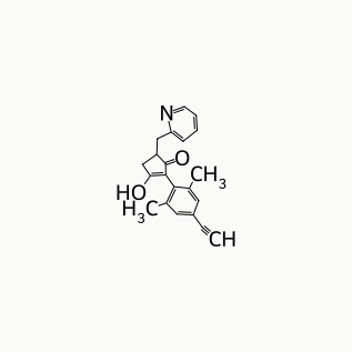 C#Cc1cc(C)c(C2=C(O)CC(Cc3ccccn3)C2=O)c(C)c1